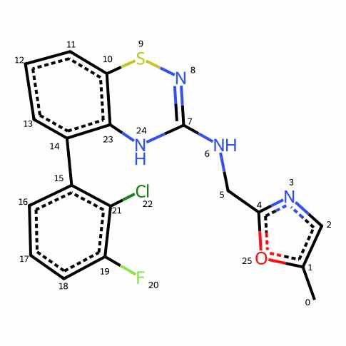 Cc1cnc(CNC2=NSc3cccc(-c4cccc(F)c4Cl)c3N2)o1